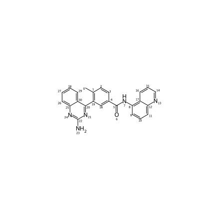 Cc1ccc(C(=O)Nc2cccc3ncccc23)cc1-c1nc(N)nc2ccccc12